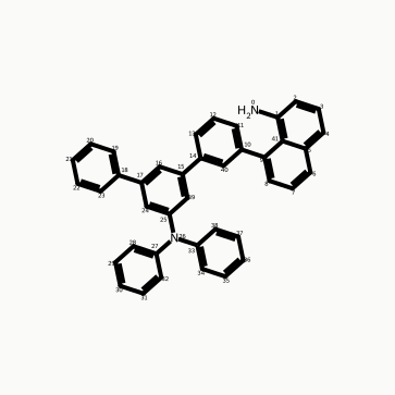 Nc1cccc2cccc(-c3cccc(-c4cc(-c5ccccc5)cc(N(c5ccccc5)c5ccccc5)c4)c3)c12